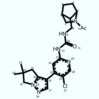 CC(=O)N1CC2CCC1C2CNC(=O)Nc1cc(-c2cnn3c2CC(C)(C)C3)c(Cl)cn1